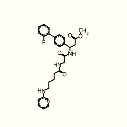 COC(=O)CC(NC(=O)CNC(=O)CCCCNc1ccccn1)c1ccc(-c2ccccc2F)cc1